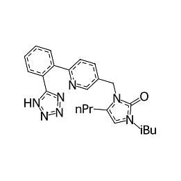 CCCc1cn(C(C)CC)c(=O)n1Cc1ccc(-c2ccccc2-c2nnn[nH]2)nc1